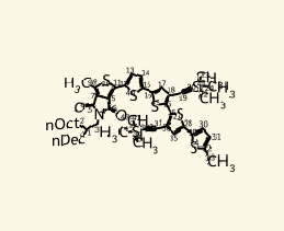 CCCCCCCCCCC(CCCCCCCC)CN1C(=O)c2c(C)sc(-c3ccc(-c4cc(C#C[Si](C)(C)C)c(-c5sc(-c6ccc(C)s6)cc5C#C[Si](C)(C)C)s4)s3)c2C1=O